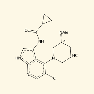 CN[C@@H]1CCCN(c2c(Cl)cnc3[nH]cc(NC(=O)C4CC4)c23)C1.Cl